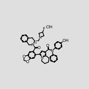 Cl.O=C(c1cc(-c2cc3c(cc2C(=O)N2Cc4ccccc4C[C@H]2CN2CC(F)C2)OCO3)n2c1CCCC2)N(c1ccccc1)c1ccc(O)cc1